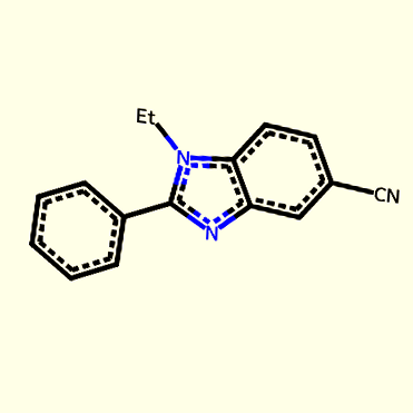 CCn1c(-c2ccccc2)nc2cc(C#N)ccc21